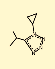 CC(C)c1nnnn1C1CC1